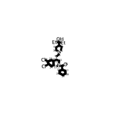 CCC(O)(CC)C1CCN(CC[C@H](CN(C)C(=O)c2ccccc2)c2ccc(Cl)c(Cl)c2)CC1